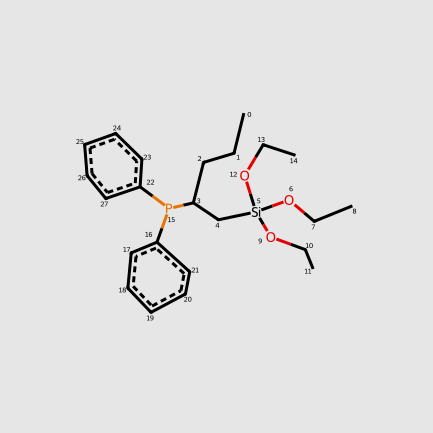 CCCC(C[Si](OCC)(OCC)OCC)P(c1ccccc1)c1ccccc1